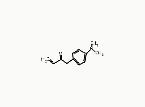 C=CC(=O)Cc1ccc(N(C)C)cc1